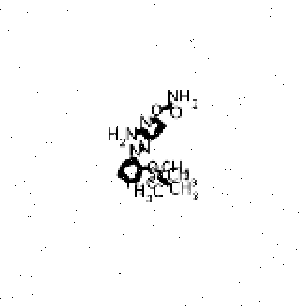 CC(C)(C)[Si](C)(C)Oc1ccccc1N=Nc1ccc(OC(N)=O)nc1N